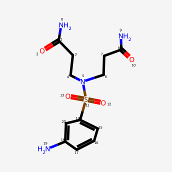 NC(=O)CCN(CCC(N)=O)S(=O)(=O)c1cccc(N)c1